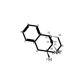 c1ccc2c(c1)C[C@H]1NCC[C@@]23COCO[C@@H]13